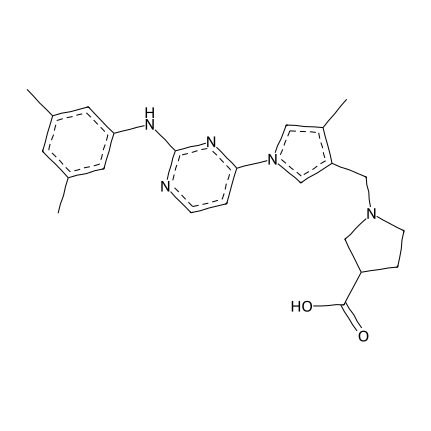 Cc1cc(C)cc(Nc2nccc(-n3cc(C)c(CN4CCC(C(=O)O)C4)c3)n2)c1